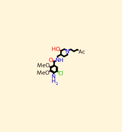 COc1c(C(=O)NCC2CCN(CCCC(C)=O)CC2O)cc(Cl)c(N)c1OC